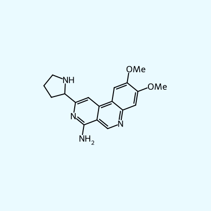 COc1cc2ncc3c(N)nc(C4CCCN4)cc3c2cc1OC